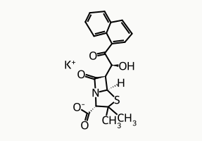 CC1(C)S[C@@H]2[C@H]([C@H](O)C(=O)c3cccc4ccccc34)C(=O)N2[C@H]1C(=O)[O-].[K+]